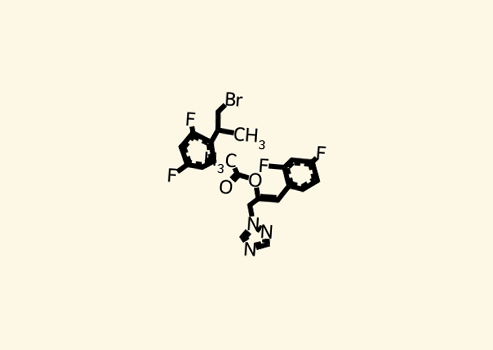 CC(=O)OC(=Cc1ccc(F)cc1F)Cn1cncn1.CC(CBr)c1ccc(F)cc1F